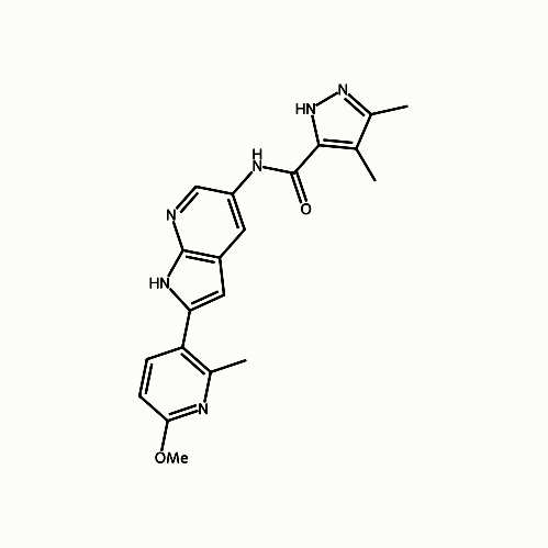 COc1ccc(-c2cc3cc(NC(=O)c4[nH]nc(C)c4C)cnc3[nH]2)c(C)n1